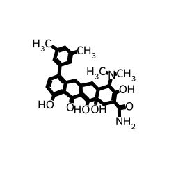 Cc1cc(C)cc(-c2ccc(O)c3c2CC2CC4C(N(C)C)C(O)=C(C(N)=O)CC4(O)C(O)=C2C3=O)c1